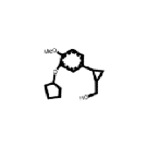 COc1ccc(C2CC2CO)cc1OC1CCCC1